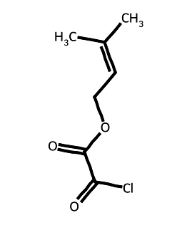 CC(C)=CCOC(=O)C(=O)Cl